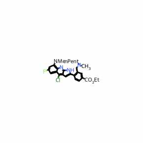 CCCCCN(C)Cc1cc(C(=O)OCC)ccc1-c1cc2c(Cl)c3cc(F)cc(NC)c3nc2[nH]1